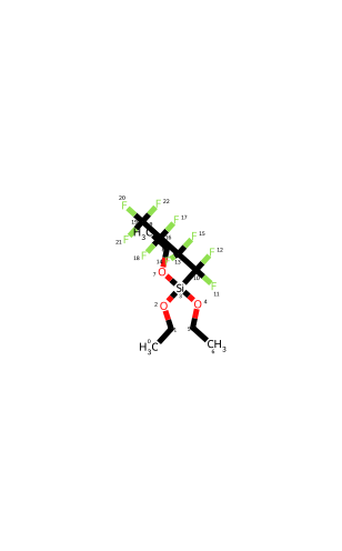 CCO[Si](OCC)(OCC)C(F)(F)C(F)(F)C(F)(F)C(F)(F)F